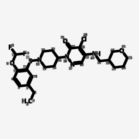 CCc1ccc(OC(F)F)c(SN2CCC(n3ncc(NCC4CCCOC4)c(Cl)c3=O)CC2)c1